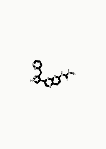 CCNC(=S)Nc1ccc2ncc(-c3c[nH]nc3Cc3cccnn3)nc2n1